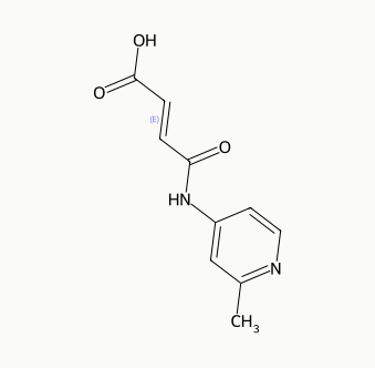 Cc1cc(NC(=O)/C=C/C(=O)O)ccn1